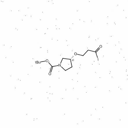 CC(C)(C)OC(=O)N1CC[C@@H](OCCC(=O)I)C1